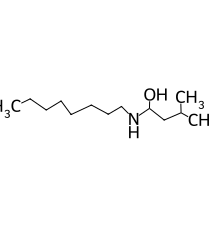 CCCCCCCCNC(O)CC(C)C